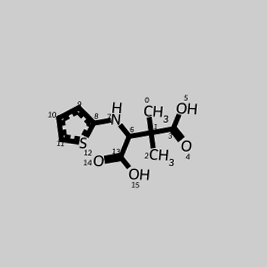 CC(C)(C(=O)O)C(Nc1cccs1)C(=O)O